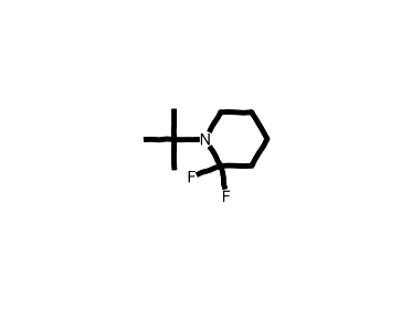 CC(C)(C)N1CCCCC1(F)F